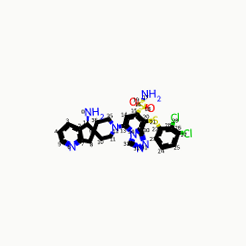 N[C@@H]1c2cccnc2CC12CCN(c1cc(S(N)(=O)=O)c(Sc3cccc(Cl)c3Cl)c3nncn13)CC2